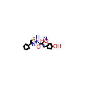 N#C/C(=C\c1ccc(O)cc1O)C(=O)Nc1nc(-c2ccccc2)cs1